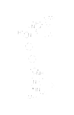 COC(=O)N[C@H](C(=O)N1[C@@H](C)CC[C@H]1c1nc(-c2ccc(-c3ccc(-c4c[nH]c([C@@H]5CC[C@H](C)N5C(=O)[C@@H](NC(=O)OC)[C@H]5C[C@@H](C)O[C@@H](C)C5)n4)cc3)cc2)c[nH]1)C1C[C@@H](C)O[C@@H](C)C1